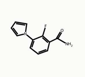 NC(=O)c1cccc(-n2cccc2)c1F